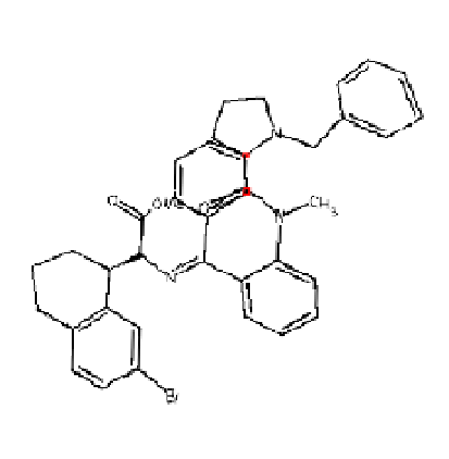 COC(=O)C(/N=C(\c1ccccc1)c1ccccc1N(C)C(=O)C1CCCN1Cc1ccccc1)[C@@H]1CCCc2ccc(Br)cc21